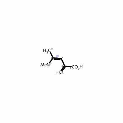 CN/C(C)=C\C(=N)C(=O)O